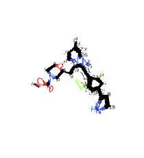 COC(=O)N1CCO[C@@H](Cc2c(-c3c(F)cc(-c4cc[nH]n4)cc3F)nc3cc(C)ccn23)C1